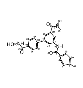 Cc1ccc(C(=O)Nc2cc(C(=O)N(C)C)cc(-c3ccc(C(=O)NO)cc3)c2)cc1